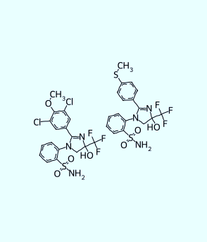 COc1c(Cl)cc(C2=NC(O)(C(F)(F)F)CN2c2ccccc2S(N)(=O)=O)cc1Cl.CSc1ccc(C2=NC(O)(C(F)(F)F)CN2c2ccccc2S(N)(=O)=O)cc1